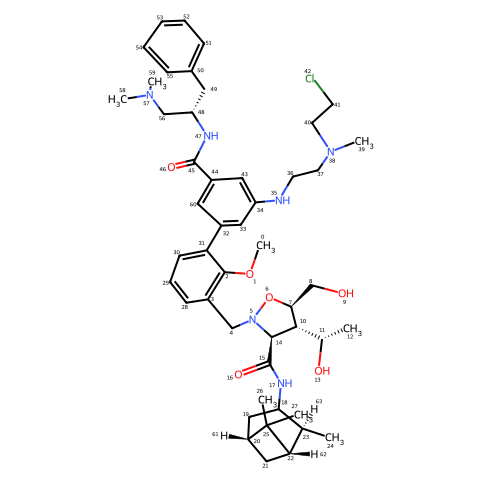 COc1c(CN2O[C@@H](CO)[C@H]([C@H](C)O)[C@H]2C(=O)NC2C[C@H]3C[C@@H]([C@@H]2C)C3(C)C)cccc1-c1cc(NCCN(C)CCCl)cc(C(=O)N[C@@H](Cc2ccccc2)CN(C)C)c1